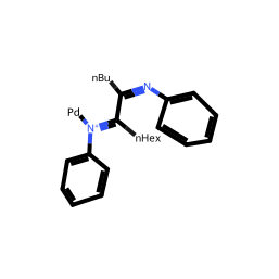 CCCCCCC(C(CCCC)=Nc1ccccc1)=[N+]([Pd])c1ccccc1